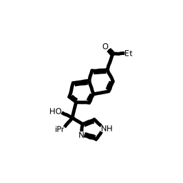 CCC(=O)c1ccc2cc(C(O)(c3c[nH]cn3)C(C)C)ccc2c1